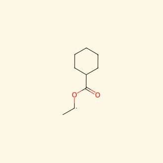 C[CH]OC(=O)C1CCCCC1